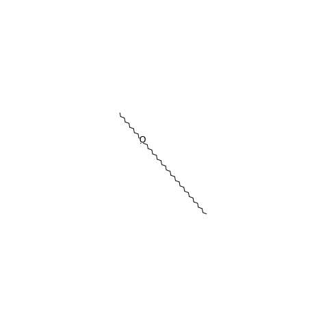 CCCCCCCCCCCCCCCCCCCCCCCCCCC[CH]OCCCCCCCCCC